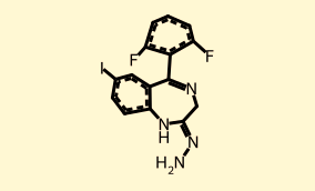 NN=C1CN=C(c2c(F)cccc2F)c2cc(I)ccc2N1